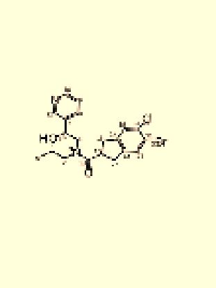 CCCN(CC(O)c1cccnc1)C(=O)C1Cc2cc(Cl)c(Br)cc2C1